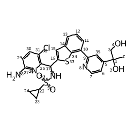 CC(O)(CO)c1ccnc(-c2cccc3cc(C(NS(=O)(=O)C4CC4)c4nc(N)ccc4Cl)sc23)c1